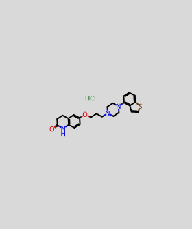 Cl.O=C1CCc2cc(OCCCN3CCN(c4cccc5sccc45)CC3)ccc2N1